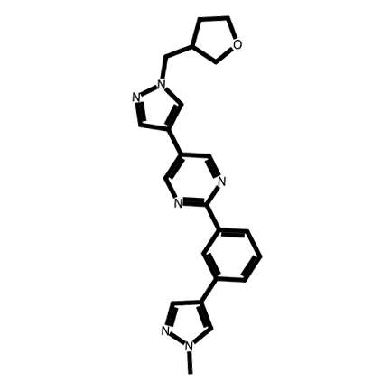 Cn1cc(-c2cccc(-c3ncc(-c4cnn(CC5CCOC5)c4)cn3)c2)cn1